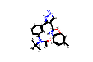 CC(=O)N(c1cccc(-c2n[nH]cc2-c2nc3ccc(C)cc3o2)c1)C(C)(C)C